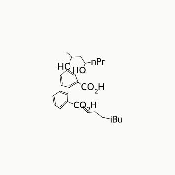 C=CCCC(C)CC.CCCC(O)CC(C)O.O=C(O)c1ccccc1.O=C(O)c1ccccc1